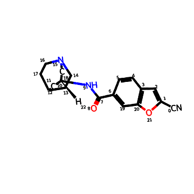 N#Cc1cc2ccc(C(=O)N[C@@H]3CC4CCN(CC4)C3)cc2o1